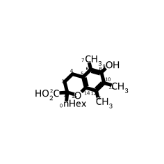 CCCCCCC1(C(=O)O)CCc2c(C)c(O)c(C)c(C)c2O1